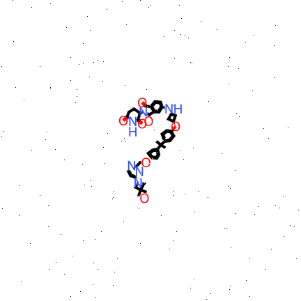 CC(C)(c1ccc(OCc2nccc(N3CC4(COC4)C3)n2)cc1)c1ccc(O[C@H]2C[C@H](Nc3ccc4c(c3)C(=O)N(C3CCC(=O)NC3=O)C4=O)C2)cc1